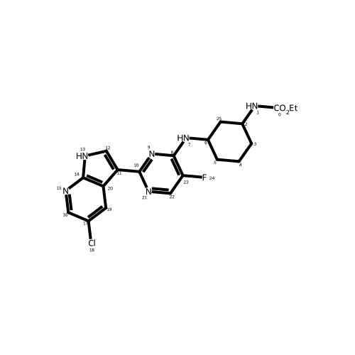 CCOC(=O)NC1CCCC(Nc2nc(-c3c[nH]c4ncc(Cl)cc34)ncc2F)C1